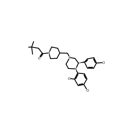 CC(C)(C)CC(=O)N1CCC(CN2CCN(c3ccc(Cl)cc3Cl)[C@H](c3ccc(Cl)cc3)C2)CC1